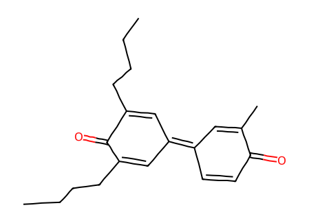 CCCCC1=CC(=C2C=CC(=O)C(C)=C2)C=C(CCCC)C1=O